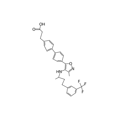 Cc1noc(-c2ccc(-c3ccc(CCC(=O)O)cc3)cc2)c1NC(C)CCc1cccc(C(F)(F)F)c1